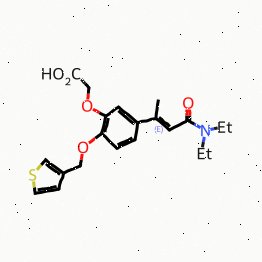 CCN(CC)C(=O)/C=C(\C)c1ccc(OCc2ccsc2)c(OCC(=O)O)c1